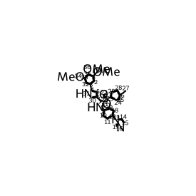 COc1cc(-c2cc(C(Nc3ccc(-n4ccnc4)cc3)S(=O)(=O)c3ccc(C)cc3)c[nH]2)cc(OC)c1OC